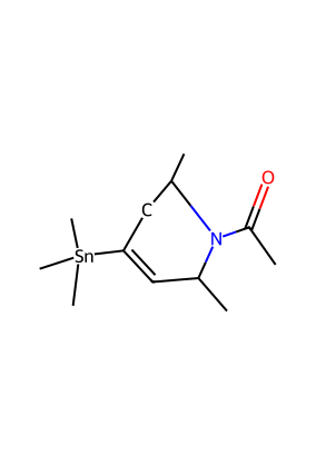 CC(=O)N1C(C)C=[C]([Sn]([CH3])([CH3])[CH3])CC1C